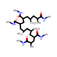 CCCNC(=O)C(CC(CC(CC(CC(C(=O)NCCC)C(C)(C)C)C(=O)NCCC)C(=O)O)C(=O)O)CC(CC(CC(C(=O)NCCC)C(C)(C)C)C(=O)O)C(=O)NCCC